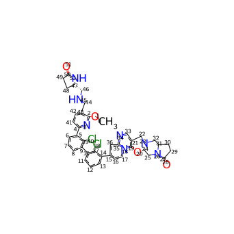 COc1nc(-c2cccc(-c3cccc(-c4ccn5c(=O)c(CN6CCN7C(=O)CCC7C6)cnc5c4)c3Cl)c2Cl)ccc1CNC[C@@H]1CCC(=O)N1